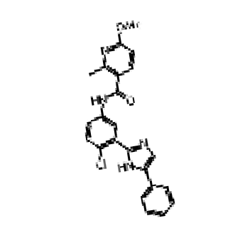 COc1ccc(C(=O)Nc2ccc(Cl)c(-c3ncc(-c4ccccc4)[nH]3)c2)c(C)n1